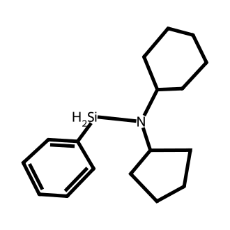 c1ccc([SiH2]N(C2CCCCC2)C2CCCC2)cc1